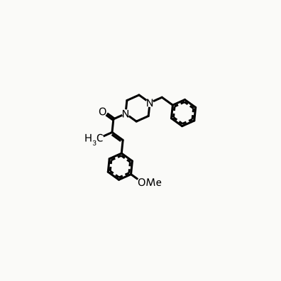 COc1cccc(/C=C(\C)C(=O)N2CCN(Cc3ccccc3)CC2)c1